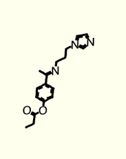 CCC(=O)Oc1ccc(/C(C)=N/CCCn2ccnc2)cc1